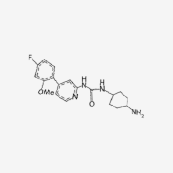 COc1cc(F)ccc1-c1ccnc(NC(=O)NC2CCC(N)CC2)c1